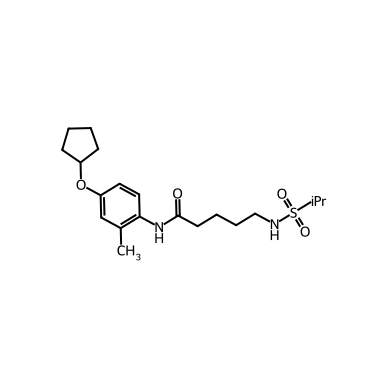 Cc1cc(OC2CCCC2)ccc1NC(=O)CCCCNS(=O)(=O)C(C)C